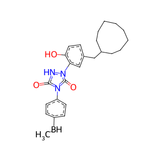 CBc1ccc(-n2c(=O)[nH]n(-c3cc(CC4CCCCCCCC4)ccc3O)c2=O)cc1